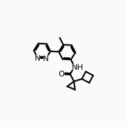 Cc1ccc(NC(=O)C2(C3CCC3)CC2)cc1-c1cccnn1